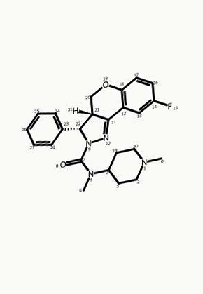 CN1CCC(N(C)C(=O)N2N=C3c4cc(F)ccc4OC[C@H]3[C@H]2c2ccccc2)CC1